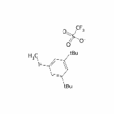 C[I+]c1cc(C(C)(C)C)cc(C(C)(C)C)c1.O=S(=O)([O-])C(F)(F)F